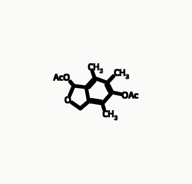 CC(=O)Oc1c(C)c(C)c2c(c1C)COC2OC(C)=O